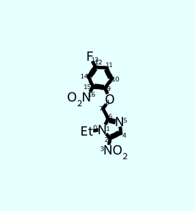 CCn1c([N+](=O)[O-])cnc1COc1ccc(F)cc1[N+](=O)[O-]